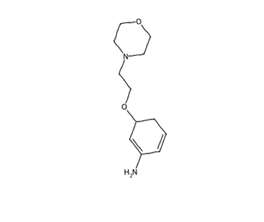 NC1=CC(OCCN2CCOCC2)CC=C1